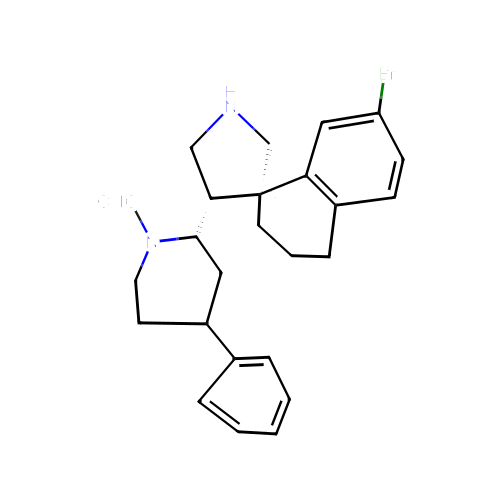 O=CN1CCC(c2ccccc2)CC1[C@@H]1CNC[C@]12CCCc1ccc(Br)cc12